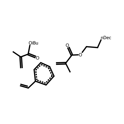 C=C(C)C(=O)OCC(C)C.C=C(C)C(=O)OCCCCCCCCCCCC.C=Cc1ccccc1